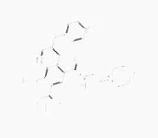 COC(=O)c1cc(C(=O)NCCN2CCOCC2)c2cc(Cc3ccc(F)cc3)cnc2c1O